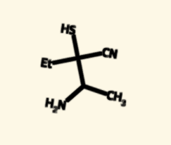 CCC(S)(C#N)C(C)N